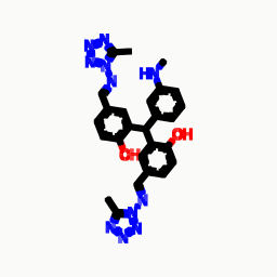 CNc1cccc(C(c2cc(C=Nn3nnnc3C)ccc2O)c2cc(C=Nn3nnnc3C)ccc2O)c1